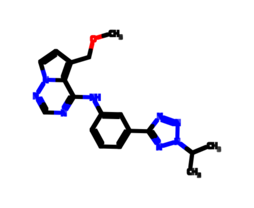 COCc1ccn2ncnc(Nc3cccc(-c4nnn(C(C)C)n4)c3)c12